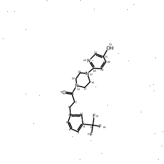 O=C(CCc1cccc(C(F)(F)F)c1)N1CCN(c2ccc(O)cn2)CC1